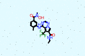 CCNC(=O)c1cn2ncnc(Nc3cc(C(=O)N(C)O)ccc3C)c2c1C(F)(F)F